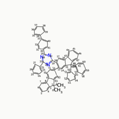 CC1(C)c2ccccc2-c2ccc(-c3cc4c(cc3-c3nc(-c5ccccc5)nc(-c5ccc(-c6ccccc6)cc5)n3)-c3ccccc3C4(c3ccccc3)c3ccccc3)cc21